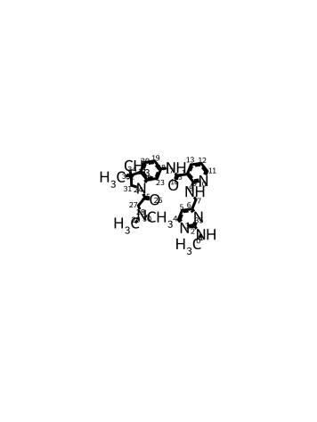 CNc1nccc(CNc2ncccc2C(=O)Nc2ccc3c(c2)N(C(=O)CN(C)C)CC3(C)C)n1